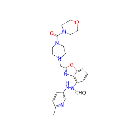 Cc1ccc(NN(C=O)c2cccc3oc(CN4CCN(C(=O)N5CCOCC5)CC4)nc23)cn1